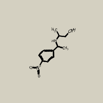 CC(CO)NC(C)c1ccc([N+](=O)[O-])cc1